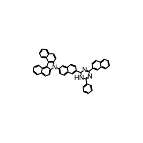 c1ccc(C2=NC(c3ccc4ccccc4c3)=NC(c3ccc4cc(-n5c6ccc7ccccc7c6c6c7ccccc7ccc65)ccc4c3)N2)cc1